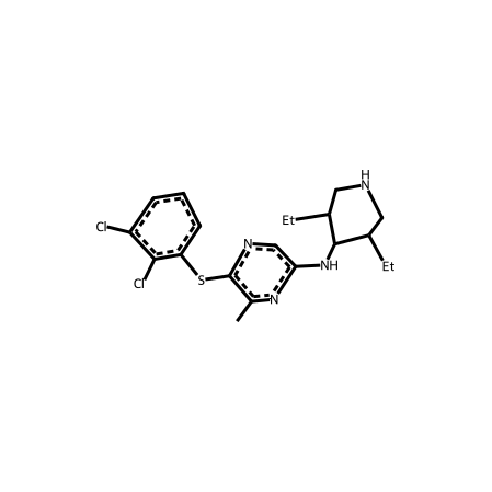 CCC1CNCC(CC)C1Nc1cnc(Sc2cccc(Cl)c2Cl)c(C)n1